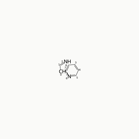 CC=N.c1ccncc1